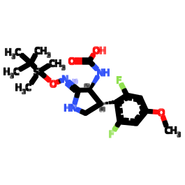 COc1cc(F)c([C@@H]2CN/C(=N\O[Si](C)(C)C(C)(C)C)[C@H]2NC(=O)O)c(F)c1